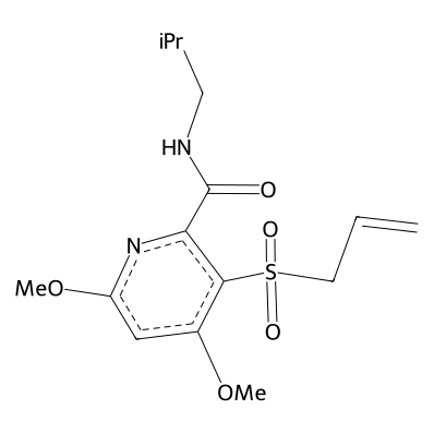 C=CCS(=O)(=O)c1c(OC)cc(OC)nc1C(=O)NCC(C)C